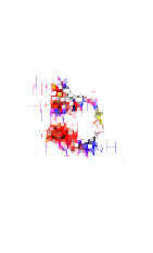 CC(C)(CNC(=O)c1ccc(C2c3ccc(N)c(S(=O)(=O)O)c3OC3=C(S(=O)(=O)O)C(=N)C=CC32)c(C(=O)O)c1)SSCOCC#Cc1cn([C@H]2CC(ON)[C@@H](COP(=O)(O)OP(=O)(O)OP(=O)(O)O)O2)c(=O)nc1N